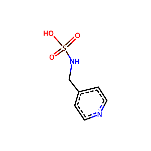 O=S(=O)(O)NCc1ccncc1